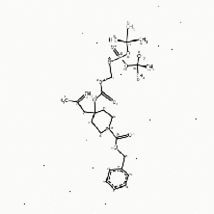 C=C(C)CC1(OC(=O)OCOP(=O)(OC(C)(C)C)OC(C)(C)C)CCN(C(=O)OCc2ccccc2)CC1